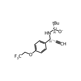 C#C[C@@H](N[S@@+]([O-])C(C)(C)C)c1ccc(OCC(F)(F)F)cc1